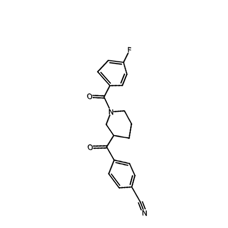 N#Cc1ccc(C(=O)C2CCCN(C(=O)c3ccc(F)cc3)C2)cc1